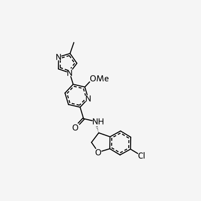 COc1nc(C(=O)N[C@H]2COc3cc(Cl)ccc32)ccc1-n1cnc(C)c1